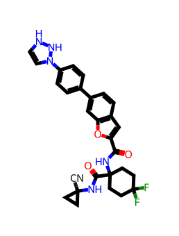 N#CC1(NC(=O)C2(NC(=O)c3cc4ccc(-c5ccc(N6C=CNN6)cc5)cc4o3)CCC(F)(F)CC2)CC1